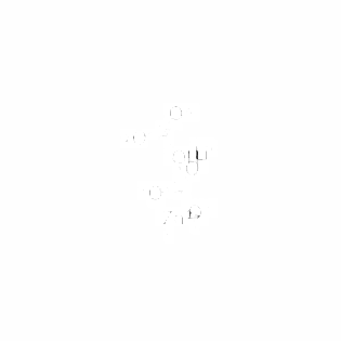 O=C([O-])O.O=C([O-])[O-].[Li+].[Zn+2]